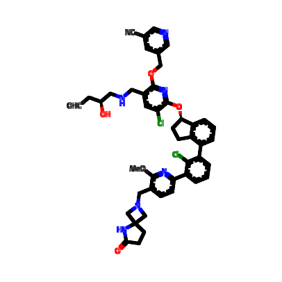 COc1nc(-c2cccc(-c3cccc4c3CC[C@@H]4Oc3nc(OCc4cncc(C#N)c4)c(CNC[C@@H](O)CC=O)cc3Cl)c2Cl)ccc1CN1CC2(CCC(=O)N2)C1